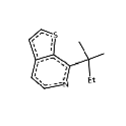 CCC(C)(C)c1nccc2ccsc12